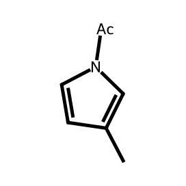 CC(=O)n1ccc(C)c1